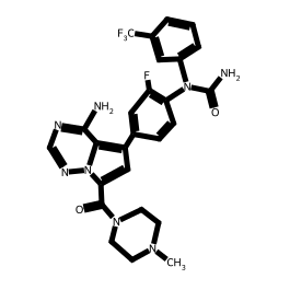 CN1CCN(C(=O)c2cc(-c3ccc(N(C(N)=O)c4cccc(C(F)(F)F)c4)c(F)c3)c3c(N)ncnn23)CC1